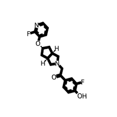 O=C(CN1C[C@H]2C[C@H](Oc3cccnc3F)C[C@H]2C1)c1ccc(O)c(F)c1